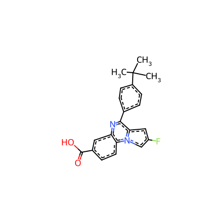 CC(C)(C)c1ccc(-c2nc3cc(C(=O)O)ccc3n3cc(F)cc23)cc1